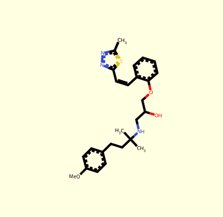 COc1ccc(CCC(C)(C)NCC(O)COc2ccccc2/C=C\c2nnc(C)s2)cc1